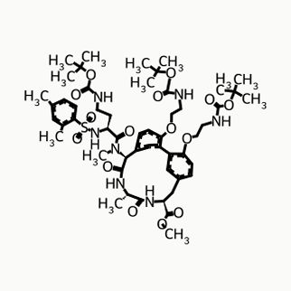 COC(=O)[C@@H]1Cc2ccc(OCCNC(=O)OC(C)(C)C)c(c2)-c2cc(ccc2OCCNC(=O)OC(C)(C)C)[C@H](N(C)C(=O)[C@H](CCNC(=O)OC(C)(C)C)NS(=O)(=O)c2ccc(C)cc2C)C(=O)N[C@@H](C)C(=O)N1